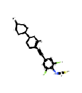 CCC1CCC(C2CCC(C#Cc3cc(F)c(N=C=S)c(F)c3)=C(C)C2)CC1